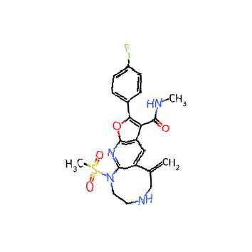 C=C1CNCCN(S(C)(=O)=O)c2nc3oc(-c4ccc(F)cc4)c(C(=O)NC)c3cc21